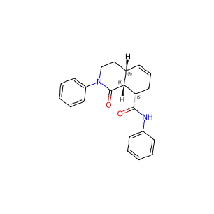 O=C(Nc1ccccc1)[C@H]1CC=C[C@H]2CCN(c3ccccc3)C(=O)[C@@H]12